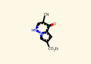 CCOC(=O)c1cc2c(=O)c(C#N)c[nH]n2c1